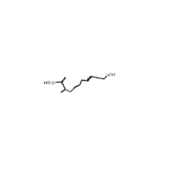 CCCCCCCCCCCCCCCC(C)C(C)C(=O)O